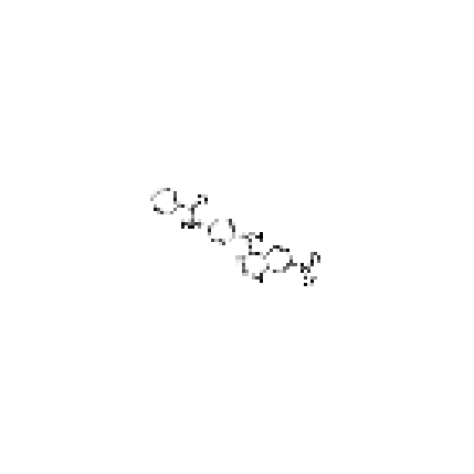 O=C(Nc1ccc(Nc2ncnc3cc([N+](=O)[O-])ccc23)cc1)c1ccccc1